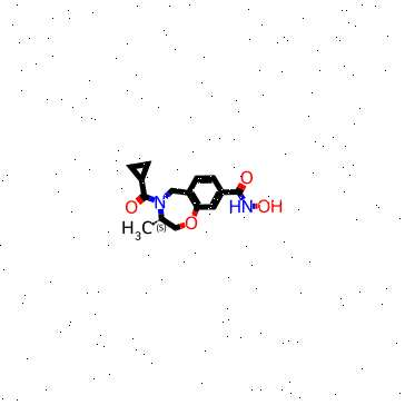 C[C@H]1COc2cc(C(=O)NO)ccc2CN1C(=O)C1CC1